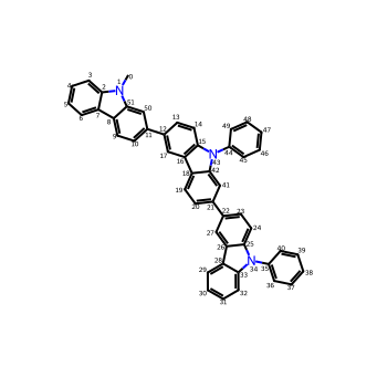 Cn1c2ccccc2c2ccc(-c3ccc4c(c3)c3ccc(-c5ccc6c(c5)c5ccccc5n6-c5ccccc5)cc3n4-c3ccccc3)cc21